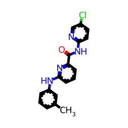 Cc1cccc(Nc2cccc(C(=O)Nc3ccc(Cl)cn3)n2)c1